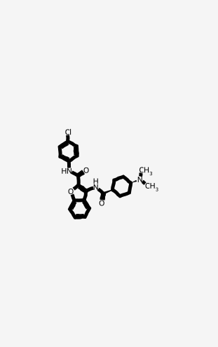 CN(C)[C@H]1CC[C@H](C(=O)Nc2c(C(=O)Nc3ccc(Cl)cc3)oc3ccccc23)CC1